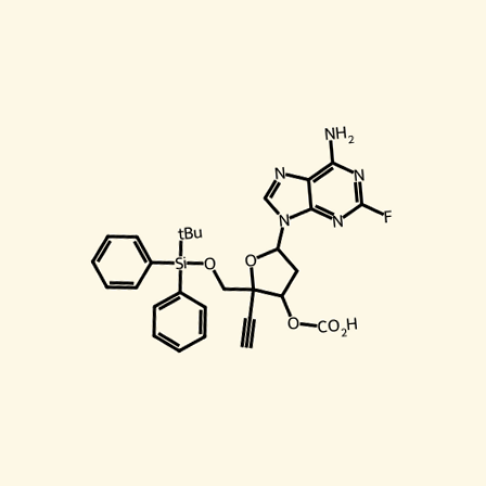 C#CC1(CO[Si](c2ccccc2)(c2ccccc2)C(C)(C)C)OC(n2cnc3c(N)nc(F)nc32)CC1OC(=O)O